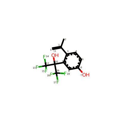 C=C(C)c1ccc(O)cc1C(O)(C(F)(F)F)C(F)(F)F